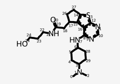 CN(C)C1CCC(Nc2ncnc3sc4c(c23)C(CC(=O)NCCCO)CC4)CC1